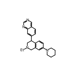 CCN1Cc2cc(N3CCCCC3)ccc2C(c2ccc3cncnc3c2)C1